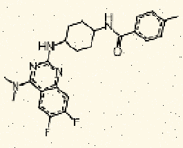 Cc1ccc(C(=O)NC2CCC(Nc3nc(N(C)C)c4cc(F)c(F)cc4n3)CC2)cc1